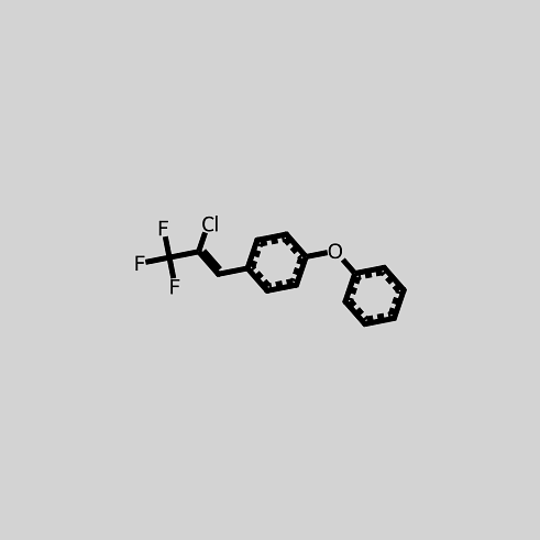 FC(F)(F)C(Cl)=Cc1ccc(Oc2ccccc2)cc1